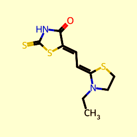 CCN1CCSC1=CC=C1SC(=S)NC1=O